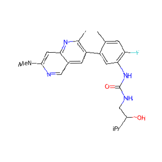 CNc1cc2nc(C)c(-c3cc(NC(=O)NCC(O)C(C)C)c(F)cc3C)cc2cn1